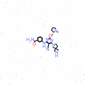 CN1CCC[C@H]1COc1nc(Nc2cccc(C(N)=O)c2)c(C#N)c(N2CCC3(CNC3)C2)n1